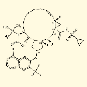 CC(C)(C)N(C(=O)O)[C@H]1CCCCCC=C[C@@H]2C[C@@]2(C(=O)NS(=O)(=O)C2CC2)NC(=O)[C@@H]2C[C@@H](Oc3nc4c(F)cccc4nc3C(F)(F)F)CN2C1=O